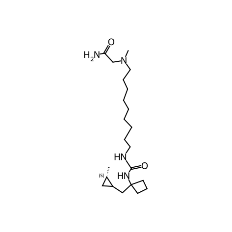 C[C@H]1CC1CC1(NC(=O)NCCCCCCCCCN(C)CC(N)=O)CCC1